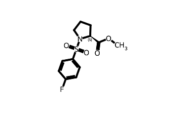 COC(=O)[C@@H]1CCCN1S(=O)(=O)c1ccc(F)cc1